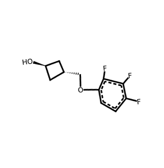 O[C@H]1C[C@H](COc2ccc(F)c(F)c2F)C1